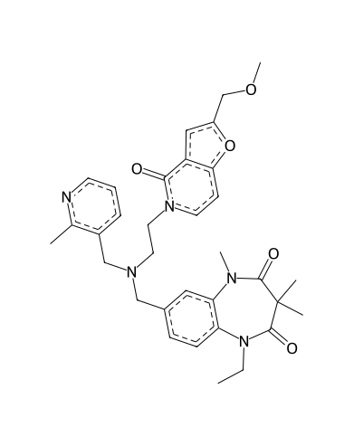 CCN1C(=O)C(C)(C)C(=O)N(C)c2cc(CN(CCn3ccc4oc(COC)cc4c3=O)Cc3cccnc3C)ccc21